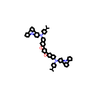 CC(C)c1ccc(N(c2ccc3cc4c(cc3c2)oc2cc3oc5cc6cc(N(c7ccc(C(C)C)cc7)c7ccc8c(c7)c7cccc9c%10ccccc%10n8c97)ccc6cc5c3cc24)c2ccc3c(c2)c2cccc4c5ccccc5n3c42)cc1